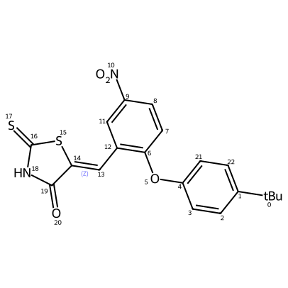 CC(C)(C)c1ccc(Oc2ccc([N+](=O)[O-])cc2/C=C2\SC(=S)NC2=O)cc1